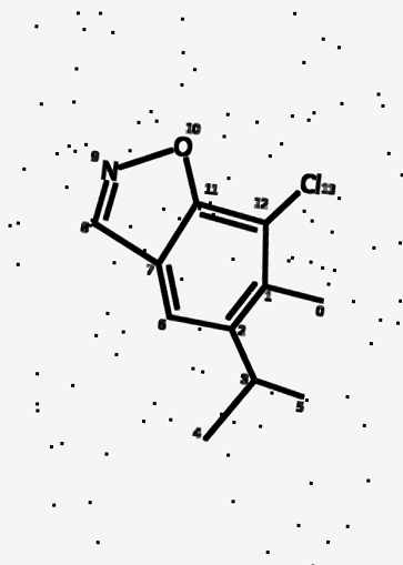 Cc1c(C(C)C)cc2cnoc2c1Cl